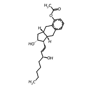 CCCCC[C@H](O)/C=C/[C@@H]1[C@H]2Cc3cccc(OC(C)=O)c3C[C@H]2C[C@H]1O